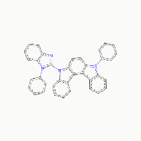 c1ccc(-n2c(-n3c4ccccc4c4c5c6ccccc6n(-c6ccccc6)c5ccc43)nc3ccccc32)cc1